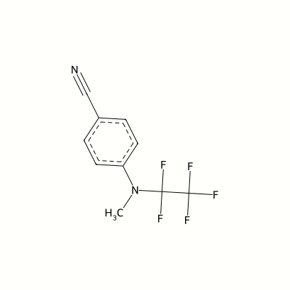 CN(c1ccc(C#N)cc1)C(F)(F)C(F)(F)F